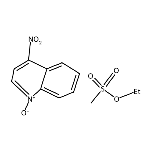 CCOS(C)(=O)=O.O=[N+]([O-])c1cc[n+]([O-])c2ccccc12